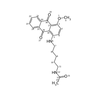 COc1ccc(NCCCCCNC(C)=O)c2c1C(=O)c1ccccc1C2=O